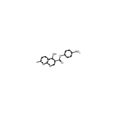 Cc1ccc2c(O)c(C(=O)Oc3ccc([N+](=O)[O-])cc3)cnc2n1